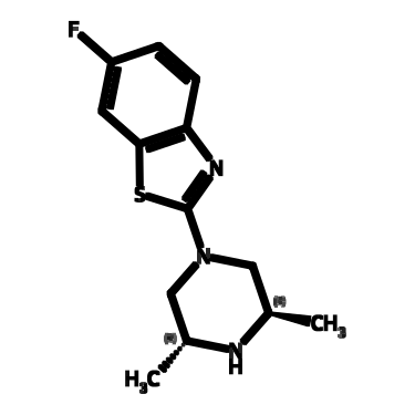 C[C@@H]1CN(c2nc3ccc(F)cc3s2)C[C@@H](C)N1